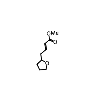 COC(=O)C=CCC1CCCO1